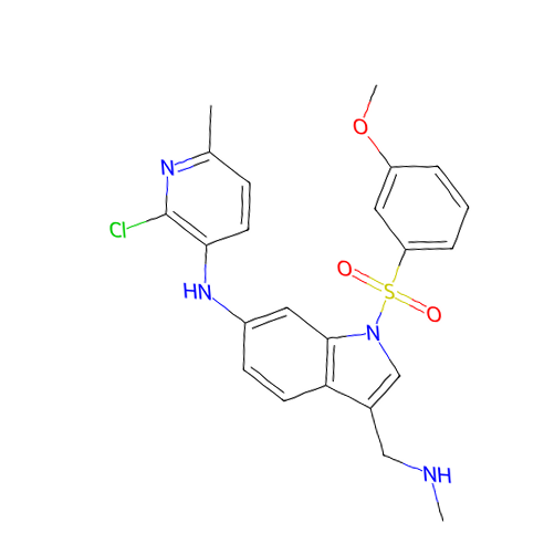 CNCc1cn(S(=O)(=O)c2cccc(OC)c2)c2cc(Nc3ccc(C)nc3Cl)ccc12